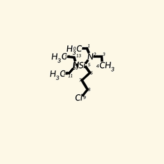 CCN(CC)[SiH](CCCCl)N(CC)CC